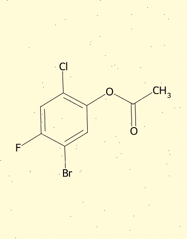 CC(=O)Oc1cc(Br)c(F)cc1Cl